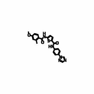 COc1ccc(C(=O)Nc2ccc(C(=O)Nc3ccc(-n4cncn4)cc3)s2)c(C)c1